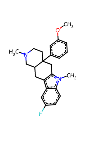 COc1cccc(C23CCN(C)CC2Cc2c(n(C)c4ccc(F)cc24)C3)c1